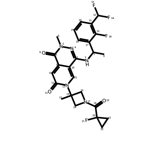 CC(Nc1nn(C)c(=O)c2cc(=O)n(C3(C)CN(C(=O)C4(F)CC4)C3)cc12)c1cccc(C(F)F)c1F